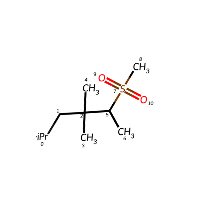 C[C](C)CC(C)(C)C(C)S(C)(=O)=O